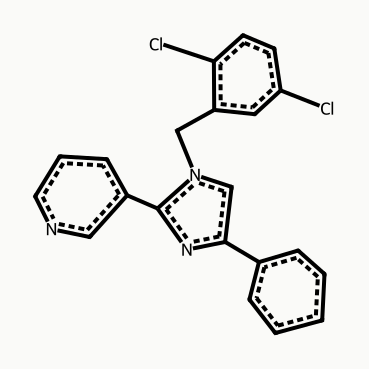 Clc1ccc(Cl)c(Cn2cc(-c3ccccc3)nc2-c2cccnc2)c1